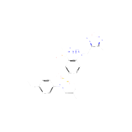 CCc1ccc(N(CC(C)C)S(=O)(=O)c2ccc(NCc3nonc3C)c(S(C)(=N)=O)c2)cc1